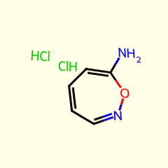 Cl.Cl.NC1=CC=CC=NO1